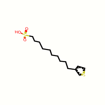 O=S(=O)(O)CCCCCCCCCCc1[c]s[c]c1